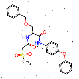 CS(=O)(=O)CC(=O)NC(COCc1ccccc1)C(=O)Nc1ccc(Oc2ccccc2)cc1